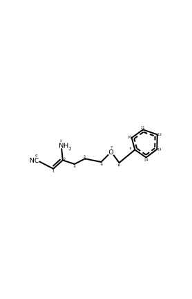 N#CC=C(N)CCCOCc1ccccc1